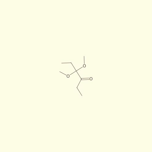 CCC(=O)C(CC)(OC)OC